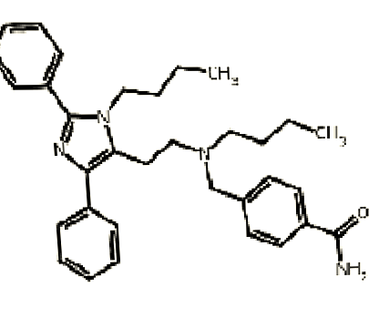 CCCCN(CCc1c(-c2ccccc2)nc(-c2ccccc2)n1CCCC)Cc1ccc(C(N)=O)cc1